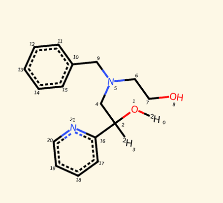 [2H]OC([2H])(CN(CCO)Cc1ccccc1)c1ccccn1